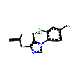 C=C(C)Cc1ncn(-c2ccc(C#N)cc2Cl)c1C(=O)OCC